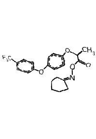 CC(Oc1ccc(Oc2ccc(C(F)(F)F)cc2)cc1)C(=O)ON=C1CCCCC1